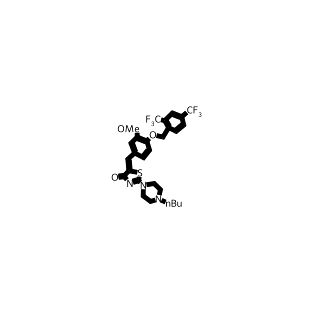 CCCCN1CCN(C2=NC(=O)C(=Cc3ccc(OCc4ccc(C(F)(F)F)cc4C(F)(F)F)c(OC)c3)S2)CC1